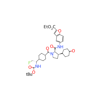 CCOC(=O)c1cc2cc(NC(=O)[C@H]3[C@@H](C4CCC(=O)CC4)CCN3C(=O)C3CCC([C@@H](CF)NC(=O)OC(C)(C)C)CC3)ccc2o1